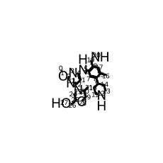 COc1nc(Nc2cc(C3CCNCC3)c(C)cc2C=N)cc(N2CC(CO)OCC2C)n1